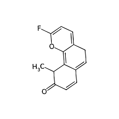 CC1C(=O)C=CC2=CCC3=CC=C(F)OC3=C21